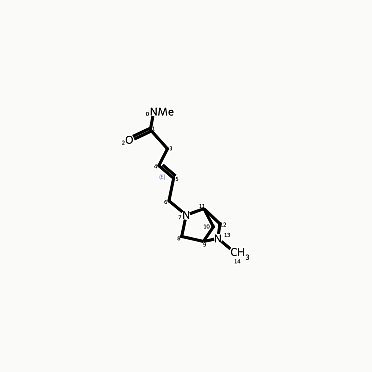 CNC(=O)C/C=C/CN1CC2CC1CN2C